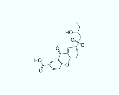 CCC(O)CS(=O)(=O)c1ccc2oc3ccc(C(=O)O)cc3c(=O)c2c1